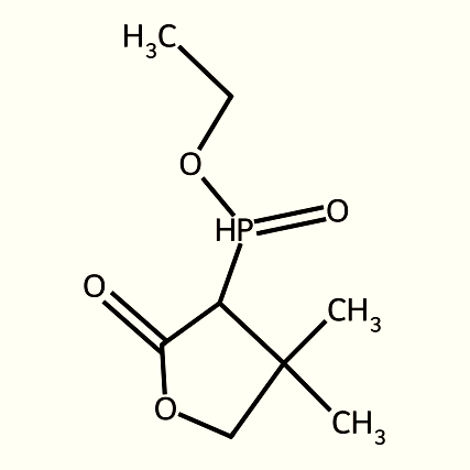 CCO[PH](=O)C1C(=O)OCC1(C)C